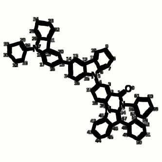 O=c1c2cc(-n3c4ccccc4c4cc(-c5ccc6c(c5)c5ccccc5n6-c5ccccc5)ccc43)ccc2n2c3ccccc3c(-c3ccccc3)c2n1-c1ccccc1